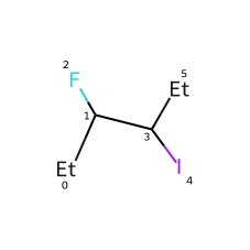 CCC(F)C(I)CC